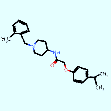 Cc1ccccc1CN1CCC(NC(=O)COc2ccc(C(C)C)cc2)CC1